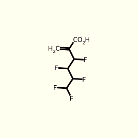 C=C(C(=O)O)C(F)C(F)C(F)C(F)F